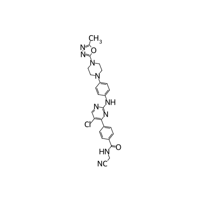 Cc1nnc(N2CCN(c3ccc(Nc4ncc(Cl)c(-c5ccc(C(=O)NCC#N)cc5)n4)cc3)CC2)o1